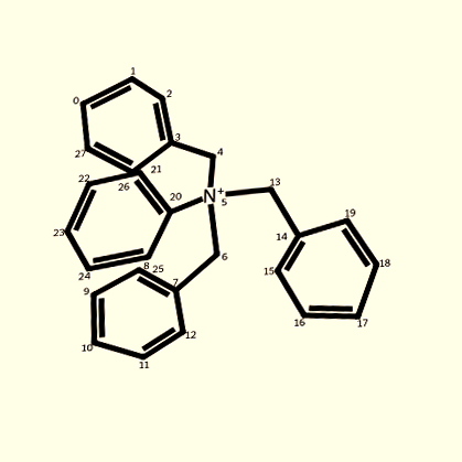 c1ccc(C[N+](Cc2ccccc2)(Cc2ccccc2)c2ccccc2)cc1